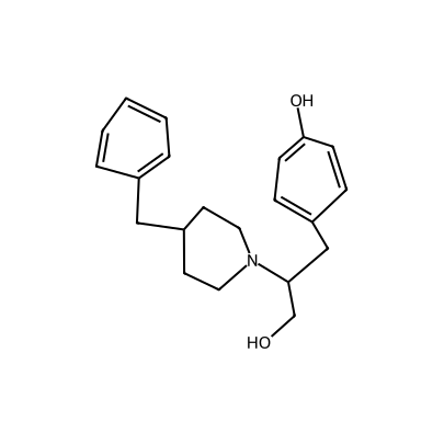 OCC(Cc1ccc(O)cc1)N1CCC(Cc2ccccc2)CC1